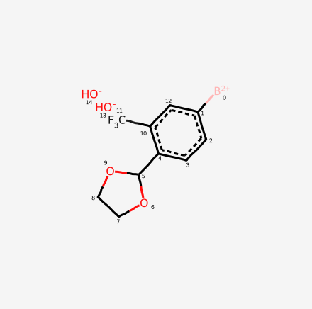 [B+2]c1ccc(C2OCCO2)c(C(F)(F)F)c1.[OH-].[OH-]